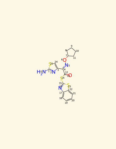 Nc1nc(/C(=N\OC2CCCC2)C(=O)Sc2nc3ccccc3s2)cs1